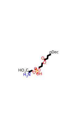 CCCCCCCCCCCCCC(=O)OCCCOP(=O)(O)OC[C@H](N)C(=O)O